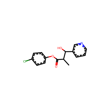 CC(C(=O)Oc1ccc(Cl)cc1)C(O)c1cccnc1